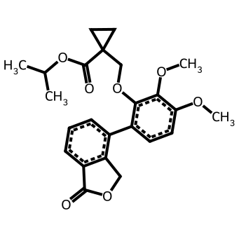 COc1ccc(-c2cccc3c2COC3=O)c(OCC2(C(=O)OC(C)C)CC2)c1OC